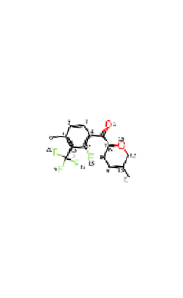 Cc1ccc(C(=O)[C@@H]2CCC(C)CO2)c(F)c1C(F)(F)F